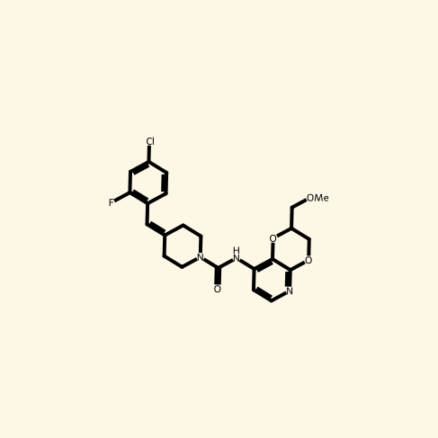 COCC1COc2nccc(NC(=O)N3CCC(=Cc4ccc(Cl)cc4F)CC3)c2O1